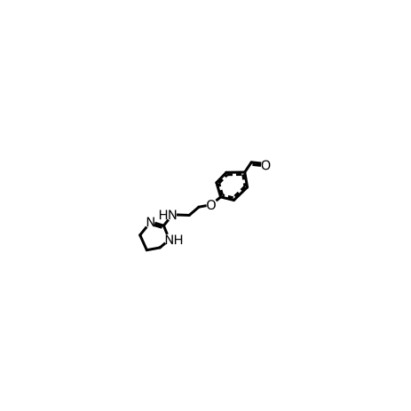 O=Cc1ccc(OCCNC2=NCCCN2)cc1